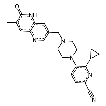 Cc1cc2ncc(CN3CCN(c4ccc(C#N)nc4C4CC4)CC3)cc2[nH]c1=O